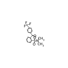 CN(C)S(=O)(=O)c1ccccc1C(=O)c1ccc(C(F)(F)F)cc1